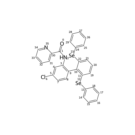 O=C(Nc1cc(Cl)ccc1-c1c([Se]c2ccccc2)cccc1[Se]c1ccccc1)c1ccccn1